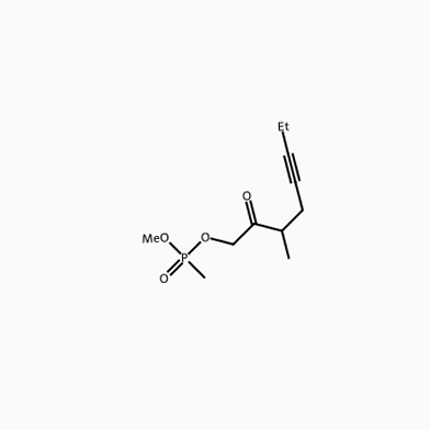 CCC#CCC(C)C(=O)COP(C)(=O)OC